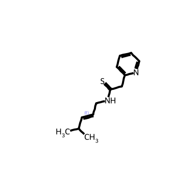 CC(C)/C=C/CNC(=S)Cc1ccccn1